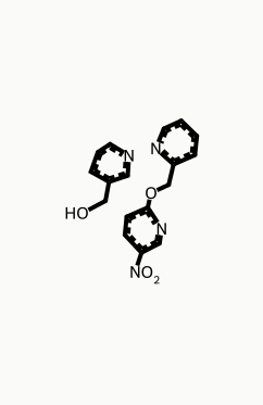 O=[N+]([O-])c1ccc(OCc2ccccn2)nc1.OCc1cccnc1